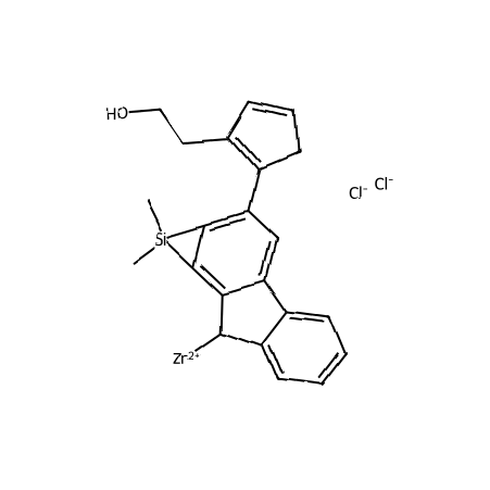 C[Si]1(C)c2c(C3=C(CCO)C=CC3)cc3c(c21)[CH]([Zr+2])c1ccccc1-3.[Cl-].[Cl-]